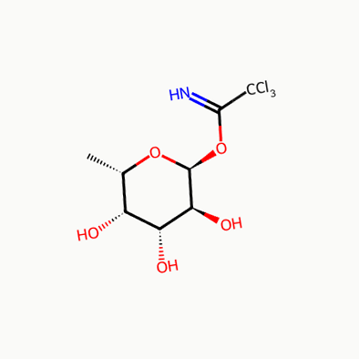 C[C@@H]1O[C@@H](OC(=N)C(Cl)(Cl)Cl)[C@@H](O)[C@H](O)[C@@H]1O